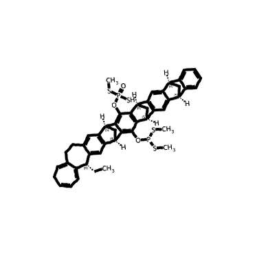 CC[C@@H]1C2=CC=CCC=C2CCc2cc3c(cc21)[C@H]1C[C@@H]3c2c(OP(=O)(S)SC)c3c(c(OP(SC)SC)c21)[C@H]1C[C@@H]3c2cc3c(cc21)[C@H]1C[C@@H]3c2ccccc21